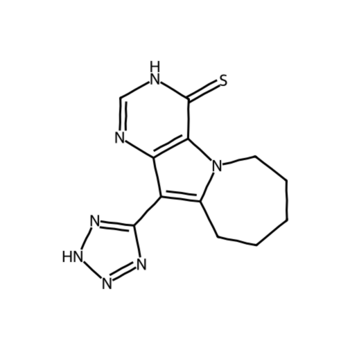 S=c1[nH]cnc2c(-c3nn[nH]n3)c3n(c12)CCCCC3